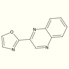 [c]1nc2ccccc2nc1-c1ncco1